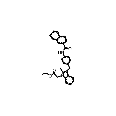 CCOC(=O)Cn1c(C)c(Cc2ccc(NC(=O)c3ccc4ccccc4c3)cc2)c2ccccc21